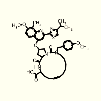 COc1ccc(CN2CCCCCC=CCCC(C(=O)O)NC(=O)C3CC(Oc4cc(-c5nc(C(C)C)cs5)nc5c(C)c(OC)ccc45)C[N+]3C2=O)cc1